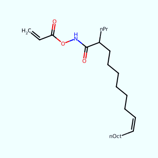 C=CC(=O)ONC(=O)C(CCC)CCCCCC/C=C\CCCCCCCC